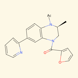 CC(=O)N1c2ccc(-c3ccccn3)cc2N(C(=O)c2ccco2)C[C@@H]1C